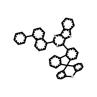 c1ccc(-c2cccc3c(-c4nc(-c5cccc6c5-c5ccccc5C65c6ccccc6Oc6ccccc65)c5sc6ccccc6c5n4)cccc23)cc1